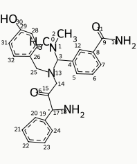 CN(C)C(c1cccc(C(N)=O)c1)N(CC(=O)[C](N)c1ccccc1)Cc1ccc(O)cc1